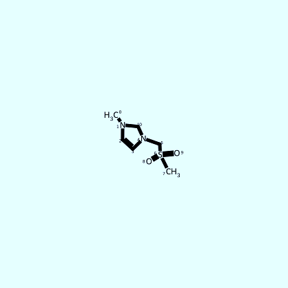 CN1C=CN(CS(C)(=O)=O)C1